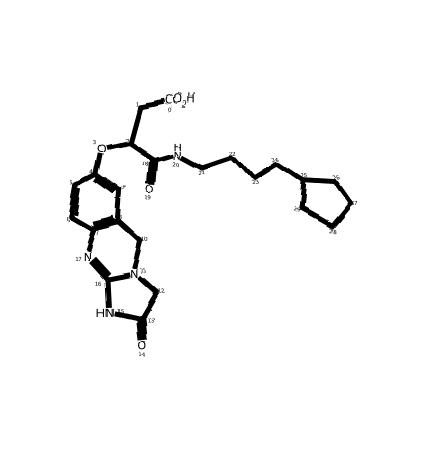 O=C(O)CC(Oc1ccc2c(c1)CN1CC(=O)NC1=N2)C(=O)NCCCCC1CCCC1